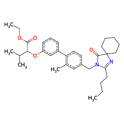 CCCCC1=NC2(CCCCC2)C(=O)N1Cc1ccc(-c2cccc(OC(C(=O)OCC)C(C)C)c2)c(C)c1